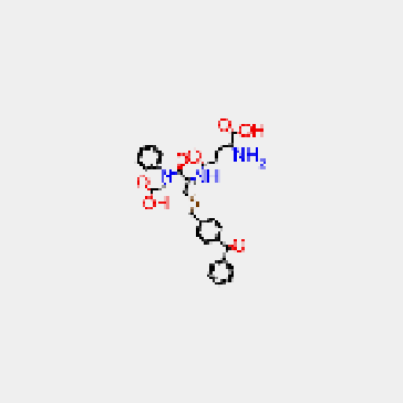 NC(CCC(=O)N[C@@H](CSCc1ccc(C(=O)c2ccccc2)cc1)C(=O)N(CC(=O)O)c1ccccc1)C(=O)O